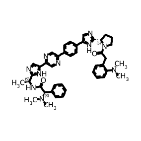 C[C@H](NC(=O)[C@@H](c1ccccc1)N(C)C)c1ncc(-c2cnc(-c3ccc(-c4cnc([C@@H]5CCCN5C(=O)Cc5ccccc5N(C)C)[nH]4)cc3)cn2)[nH]1